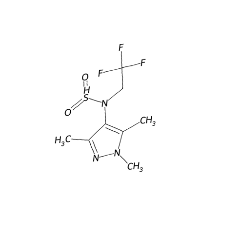 Cc1nn(C)c(C)c1N(CC(F)(F)F)[SH](=O)=O